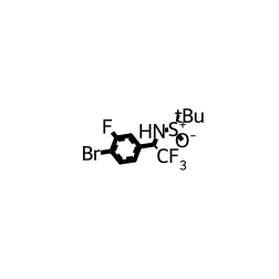 CC(C)(C)[S@@+]([O-])N[C@@H](c1ccc(Br)c(F)c1)C(F)(F)F